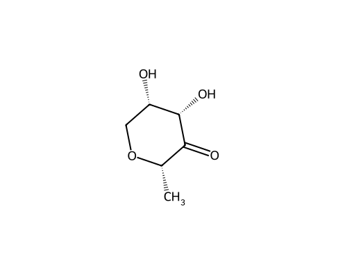 C[C@@H]1OC[C@H](O)[C@H](O)C1=O